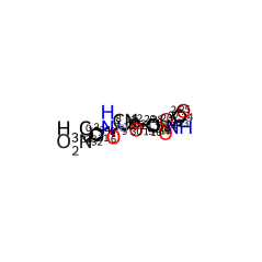 Cc1cc(NC(=O)/C(C#N)=C/c2ccc(-c3ccc(S(=O)(=O)NC4CCOCC4)cc3)o2)ccc1[N+](=O)[O-]